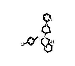 Clc1ccc(C[C@H]2CN3CCCC[C@H]3CN2C2CCN(c3ccccn3)CC2)cc1